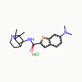 CN(C)c1ccc2cc(C(=O)NC3C4CCN(CC4)C3(C)C)sc2c1.Cl